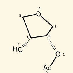 CC(=O)O[C@H]1COC[C@H]1O